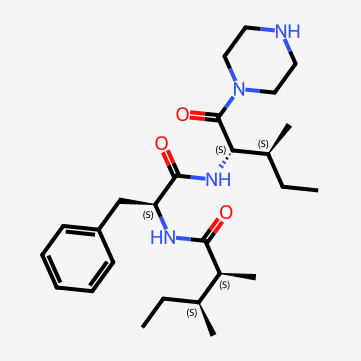 CC[C@H](C)[C@H](C)C(=O)N[C@@H](Cc1ccccc1)C(=O)N[C@H](C(=O)N1CCNCC1)[C@@H](C)CC